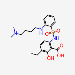 CCc1ccc(NS(=O)(=O)c2ccccc2NCCCCN(C)C)c(C(=O)O)c1O